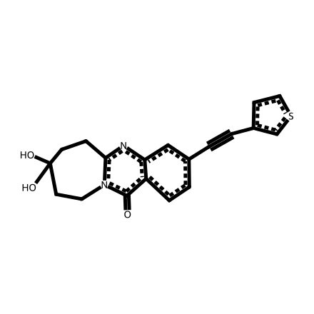 O=c1c2ccc(C#Cc3ccsc3)cc2nc2n1CCC(O)(O)CC2